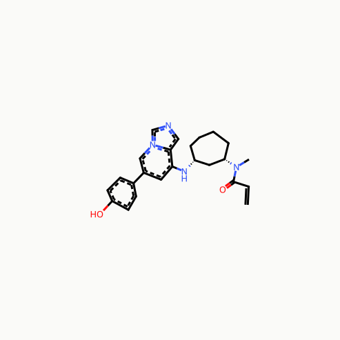 C=CC(=O)N(C)[C@H]1CCCC[C@@H](Nc2cc(-c3ccc(O)cc3)cn3cncc23)C1